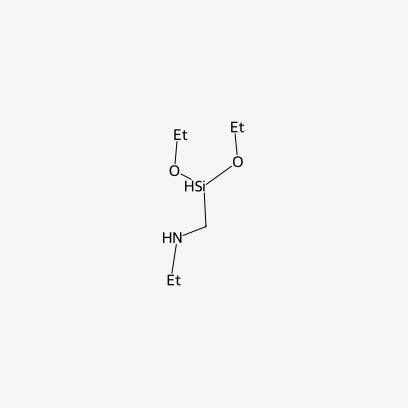 CCNC[SiH](OCC)OCC